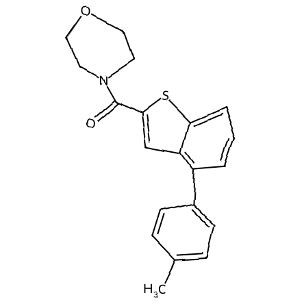 Cc1ccc(-c2cccc3sc(C(=O)N4CCOCC4)cc23)cc1